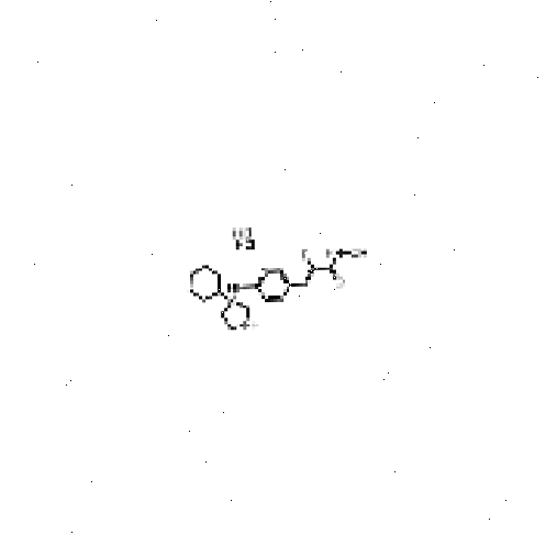 Cl.Cl.O=C(NO)/C(F)=C/c1ccc(N[C@@]2(C3CCCCC3)CCNC2)nc1